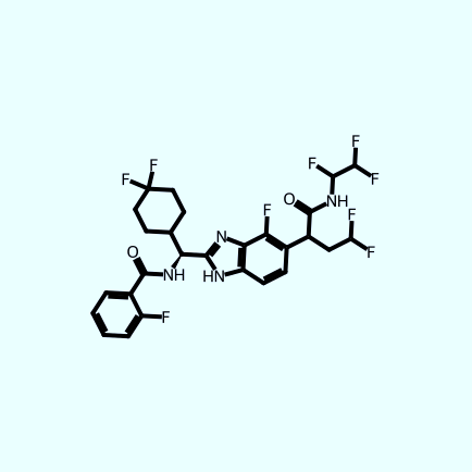 O=C(N[C@H](c1nc2c(F)c(C(CC(F)F)C(=O)NC(F)C(F)F)ccc2[nH]1)C1CCC(F)(F)CC1)c1ccccc1F